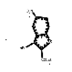 CCCCc1c(C(=O)OCC)sc2ccc([N+](=O)[O-])cc12